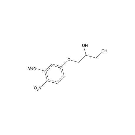 CNc1cc(OCC(O)CO)ccc1[N+](=O)[O-]